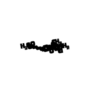 COC(=O)CCCCCN1CCC(NC(=O)c2cc(Cl)c(N)cc2OC)CC1